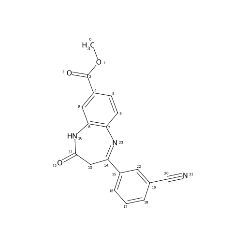 COC(=O)c1ccc2c(c1)NC(=O)CC(c1cccc(C#N)c1)=N2